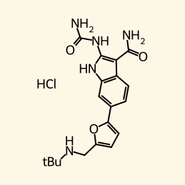 CC(C)(C)NCc1ccc(-c2ccc3c(C(N)=O)c(NC(N)=O)[nH]c3c2)o1.Cl